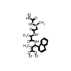 CCNC(=O)NN(C)CC(=O)NC(C)C(=O)N[C@H](c1cccc2ccccc12)[C@H](C)C(OCC)OCC